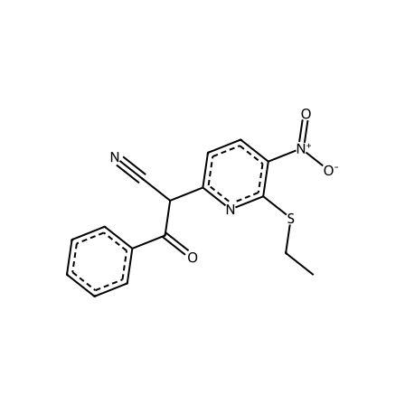 CCSc1nc(C(C#N)C(=O)c2ccccc2)ccc1[N+](=O)[O-]